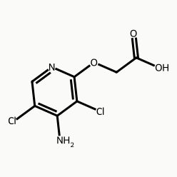 Nc1c(Cl)cnc(OCC(=O)O)c1Cl